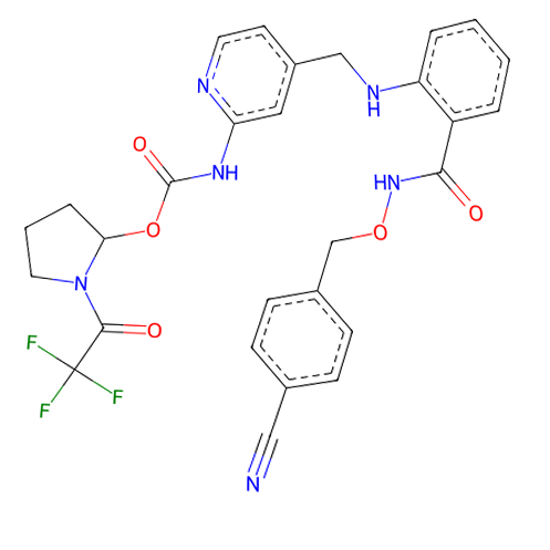 N#Cc1ccc(CONC(=O)c2ccccc2NCc2ccnc(NC(=O)OC3CCCN3C(=O)C(F)(F)F)c2)cc1